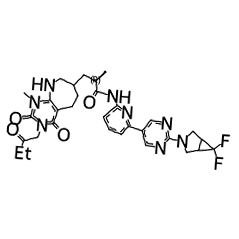 CCC(=O)Cn1c(=O)c2c(n(C)c1=O)NCC(C[C@@H](C)C(=O)Nc1cccc(-c3cnc(N4CC5C(C4)C5(F)F)nc3)n1)CC2